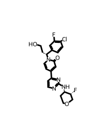 O=c1cc(-c2ccnc(N[C@H]3CCOC[C@H]3F)n2)ccn1[C@H](CCO)c1ccc(Cl)c(F)c1